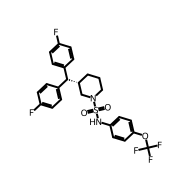 O=S(=O)(Nc1ccc(OC(F)(F)F)cc1)N1CCC[C@@H](C(c2ccc(F)cc2)c2ccc(F)cc2)C1